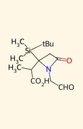 CC(C(=O)O)C1([Si](C)(C)C(C)(C)C)CC(=O)N1CC=O